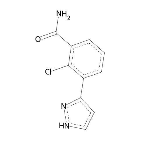 NC(=O)c1cccc(-c2cc[nH]n2)c1Cl